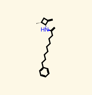 C=C(CCCCCCCCc1ccccc1)N[C@H]1C(=C)C[C@H]1C